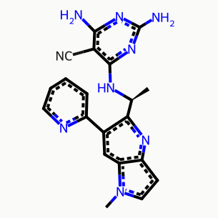 C[C@H](Nc1nc(N)nc(N)c1C#N)c1nc2ccn(C)c2cc1-c1ccccn1